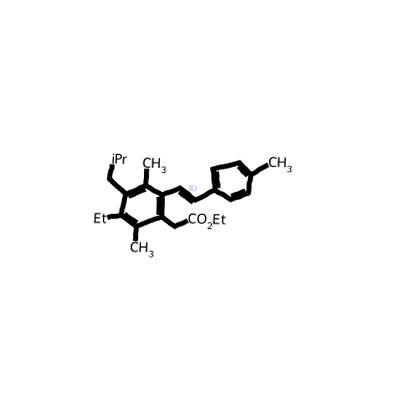 CCOC(=O)Cc1c(C)c(CC)c(CC(C)C)c(C)c1/C=C/c1ccc(C)cc1